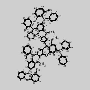 CN1c2cc(N(c3ccccc3)c3c(F)cccc3F)cc3c2B(c2ccccc2O3)c2sc3c(c21)Oc1cc(N(c2ccccc2)c2ccccc2)cc2c1B3c1sc3c(c1N2C)N(C)c1cc(N(c2ccccc2)c2c(F)cccc2F)cc2c1B3c1ccccc1N2c1ccccc1F